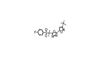 CC(C)(C)c1cc(-c2nnc(C(C)(C)S(=O)(=O)c3ccc(F)cc3)o2)on1